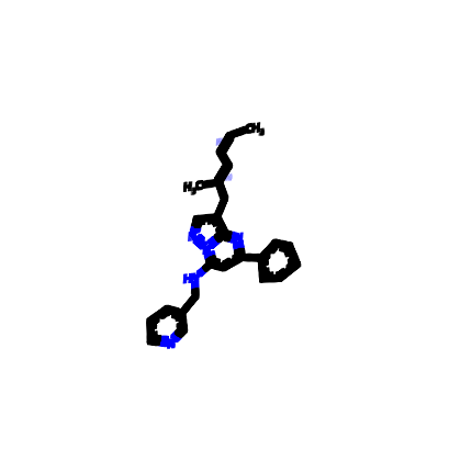 C/C=C\C=C(/C)Cc1cnn2c(NCc3cccnc3)cc(-c3ccccc3)nc12